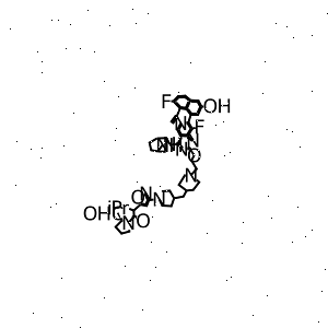 C#Cc1c(F)ccc2cc(O)cc(-c3ncc4c(N5CC6CCC(C5)N6)nc(OCCN5CCC(CC6CCN(c7cc(C(C(=O)N8CCC[C@H]8C=O)C(C)C)on7)CC6)CC5)nc4c3F)c12